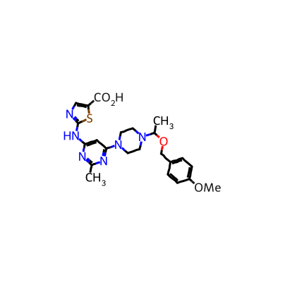 COc1ccc(COC(C)N2CCN(c3cc(Nc4ncc(C(=O)O)s4)nc(C)n3)CC2)cc1